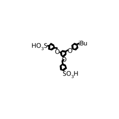 CCC(C)c1ccc(OCc2cc(OCc3ccc(S(=O)(=O)O)cc3)cc(OCc3ccc(S(=O)(=O)O)cc3)c2)cc1